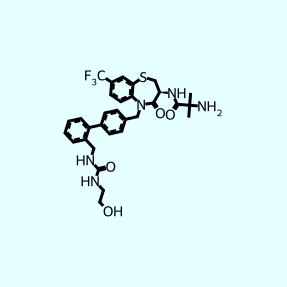 CC(C)(N)C(=O)N[C@@H]1CSc2cc(C(F)(F)F)ccc2N(Cc2ccc(-c3ccccc3CNC(=O)NCCO)cc2)C1=O